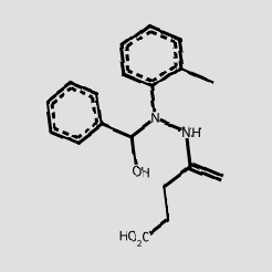 C=C(CCC(=O)O)NN(c1ccccc1C)C(O)c1ccccc1